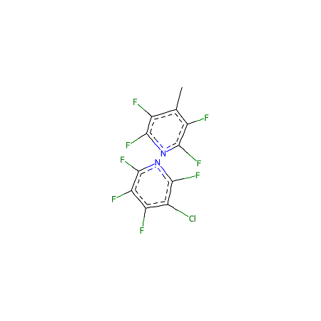 Cc1c(F)c(F)nc(F)c1F.Fc1nc(F)c(Cl)c(F)c1F